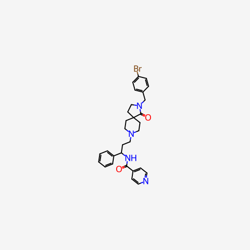 O=C(NC(CCN1CCC2(CC1)CCN(Cc1ccc(Br)cc1)C2=O)c1ccccc1)c1ccncc1